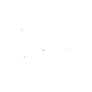 CC(C)(C)OC(=O)N[C@@H](CO)Cc1ccoc1